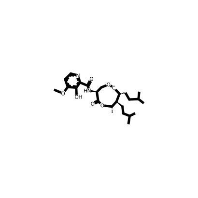 COc1ccnc(C(=O)N[C@H]2COC[C@H](CCC(C)C)[C@@H](CCC(C)C)[C@H](C)OC2=O)c1O